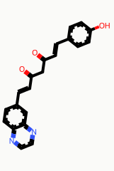 O=C(C=Cc1ccc(O)cc1)CC(=O)C=Cc1ccc2nccnc2c1